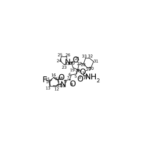 NC(=O)O[C@](CCC(=O)c1nc2ccc(F)cc2o1)(CC(=O)N1CCCC1)CC1CCCCC1